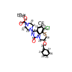 C[C@@H]1CN(c2nc(=O)n3c4c(c(Cl)c(C(F)(F)F)cc24)SC[C@@H](OCc2ccccc2)C3)C[C@H](C)N1C(=O)OC(C)(C)C